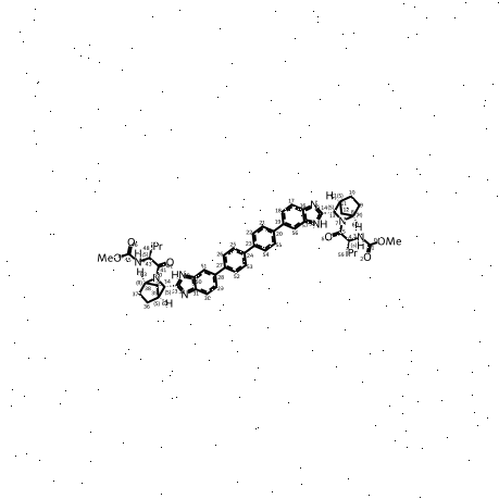 COC(=O)N[C@H](C(=O)N1[C@@H]2CC[C@@H](C2)[C@H]1c1nc2ccc(-c3ccc(-c4ccc(-c5ccc6nc([C@@H]7[C@H]8CC[C@H](C8)N7C(=O)[C@@H](NC(=O)OC)C(C)C)[nH]c6c5)cc4)cc3)cc2[nH]1)C(C)C